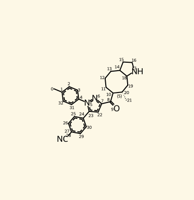 Cc1ccc(-n2nc(C(=O)C3CCCC4CCNC4C[C@@H]3C)cc2-c2ccc(C#N)cc2)cc1